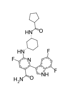 NC(=O)c1cc(F)c(N[C@H]2CCC[C@@H](NC(=O)C3CCCC3)C2)nc1-c1c[nH]c2c(F)cc(F)cc12